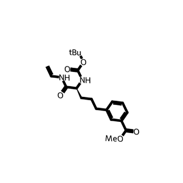 C=CNC(=O)[C@H](CCCc1cccc(C(=O)OC)c1)NC(=O)OC(C)(C)C